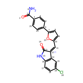 NC(=O)c1ccc(-c2ccc(/C=C3\C(=O)Nc4ccc(Cl)cc43)o2)cc1